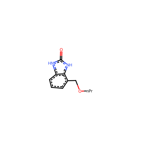 CCCOCc1cccc2[nH]c(=O)[nH]c12